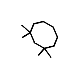 CC1(C)[CH]C(C)(C)CCCCC1